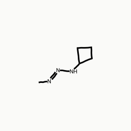 CN=NNC1CCC1